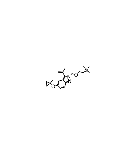 C=C(C)c1c2cc(OC3(C)CC3)ccc2nn1COCC[Si](C)(C)C